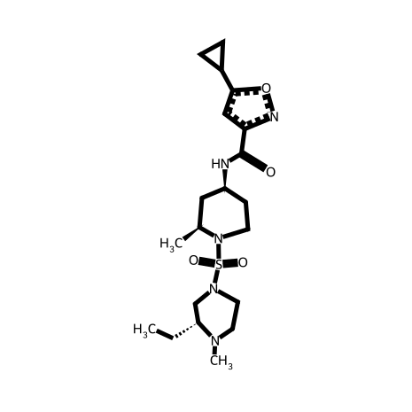 CC[C@@H]1CN(S(=O)(=O)N2CC[C@H](NC(=O)c3cc(C4CC4)on3)C[C@@H]2C)CCN1C